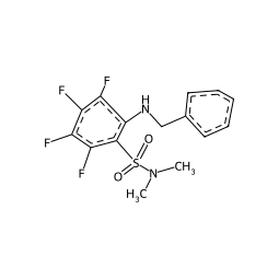 CN(C)S(=O)(=O)c1c(F)c(F)c(F)c(F)c1NCc1ccccc1